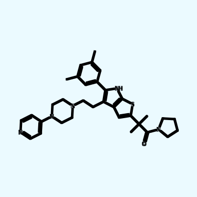 Cc1cc(C)cc(-c2[nH]c3sc(C(C)(C)C(=O)N4CCCC4)cc3c2CCN2CCN(c3ccncc3)CC2)c1